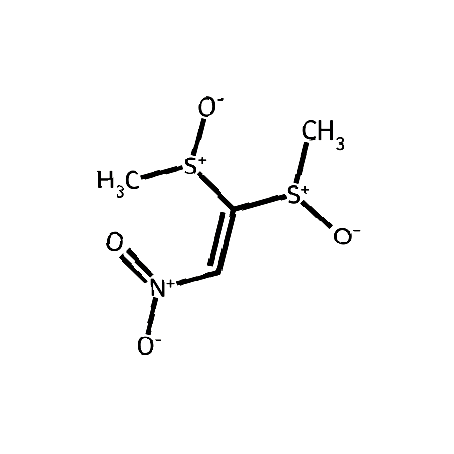 C[S+]([O-])C(=C[N+](=O)[O-])[S+](C)[O-]